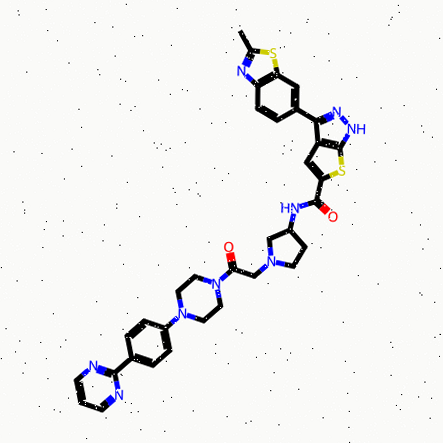 Cc1nc2ccc(-c3n[nH]c4sc(C(=O)NC5CCN(CC(=O)N6CCN(c7ccc(-c8ncccn8)cc7)CC6)C5)cc34)cc2s1